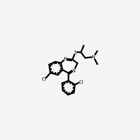 CC(CN(C)C)SC1=Nc2ccc(Cl)cc2C(c2ccccc2Cl)=NC1